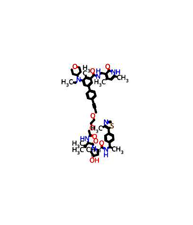 CCN(c1cc(-c2ccc(C#CCOCCOCC(=O)NC(C(=O)N3C[C@H](O)C[C@H]3C(=O)NC(C)c3ccc(-c4scnc4C)cc3)C(C)(C)C)cc2)cc(C(=O)NCc2c(C)cc(C)[nH]c2=O)c1C)C1CCOCC1